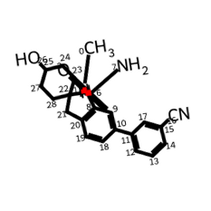 CN1C(=O)C2(N=C1N)c1cc(-c3cccc(C#N)c3)ccc1CC21CCC(O)CC1